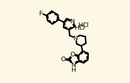 Cl.Cl.O=c1[nH]c2cccc(C3CCCN(Cc4cncc(-c5ccc(F)cc5)c4)C3)c2o1